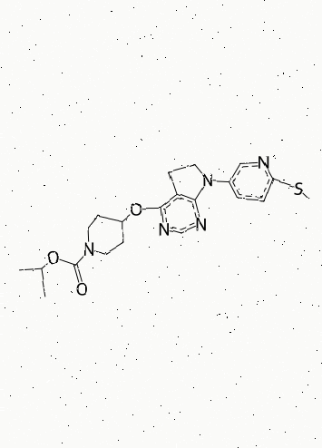 CSc1ccc(N2CCc3c(OC4CCN(C(=O)OC(C)C)CC4)ncnc32)cn1